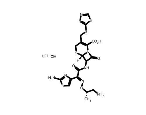 C[C@@H](CN)ON=C(C(=O)NC1C(=O)N2C(C(=O)O)=C(CSc3nncs3)CS[C@@H]12)c1csc(N)n1.Cl.Cl